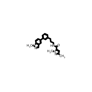 Cc1cc(C(=O)NCCCc2cccc(-c3ccc4c(cnn4C)c3)c2)n(C)n1